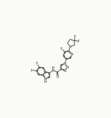 O=C(Nc1c[nH]c2cc(F)c(F)cc12)c1cn(-c2cnc(N3CCC(F)(F)C3)c(F)c2)nn1